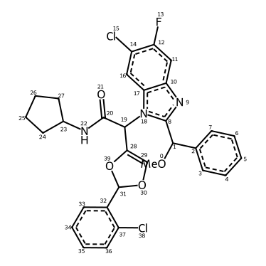 COC(c1ccccc1)c1nc2cc(F)c(Cl)cc2n1C(C(=O)NC1CCCC1)C1=COC(c2ccccc2Cl)O1